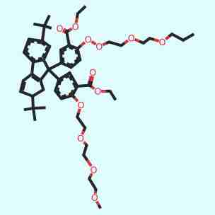 CCCOCCOCCOOc1ccc(C2(c3ccc(OCCOCCOCCOC)c(C(=O)OCC)c3)C3=C(C=CC(C(C)(C)C)C3)c3ccc(C(C)(C)C)cc32)cc1C(=O)OCC